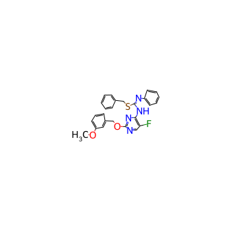 COc1cccc(COc2ncc(F)c(N/C(=N\c3ccccc3)SCc3ccccc3)n2)c1